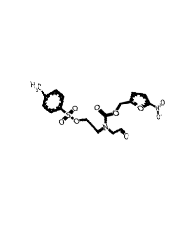 Cc1ccc(S(=O)(=O)OCCN(CC=O)C(=O)OCc2ccc([N+](=O)[O-])o2)cc1